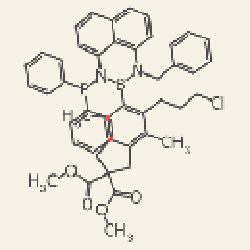 COC(=O)C1(C(=O)OC)Cc2c(C)c(CCCCl)c(B3N(Cc4ccccc4)c4cccc5cccc(c45)N3P(c3ccccc3)c3ccccc3)c(C)c2C1